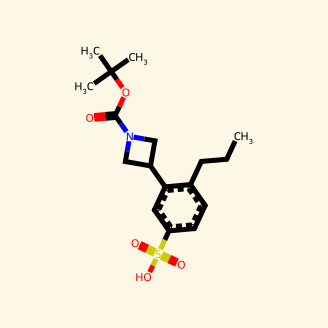 CCCc1ccc(S(=O)(=O)O)cc1C1CN(C(=O)OC(C)(C)C)C1